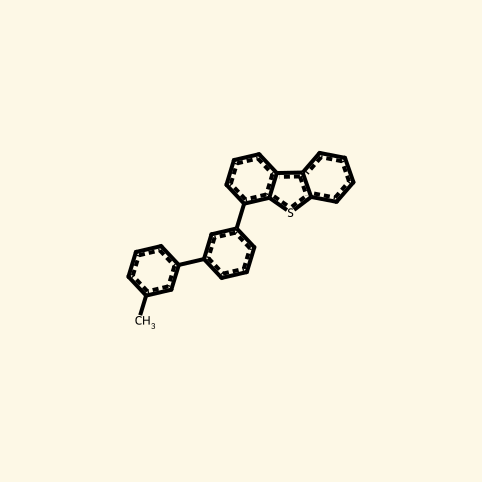 Cc1cccc(-c2cccc(-c3cccc4c3sc3ccccc34)c2)c1